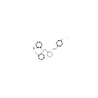 O=S1(=O)Cc2ccccc2N(CC2CCCN2CCc2ccc(O)cc2)c2ccccc21